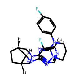 Cc1ncnc(N2C[C@H]3CC[C@@H](C2)[C@@H]3Nc2nc3n(n2)CCCN3c2ccc(F)cc2)c1F